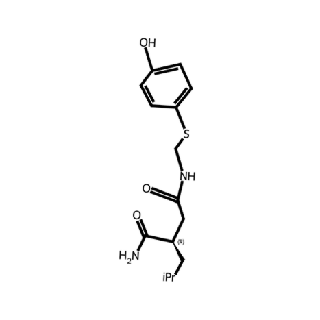 CC(C)C[C@H](CC(=O)NCSc1ccc(O)cc1)C(N)=O